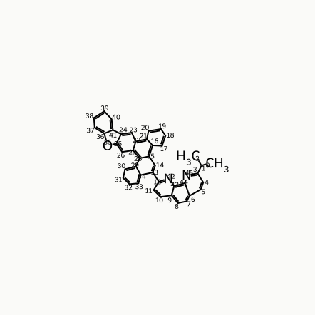 CC(C)c1ccc2ccc3ccc(-c4cc5c6ccccc6c6cc7c(cc6c5c5ccccc45)oc4ccccc47)nc3c2n1